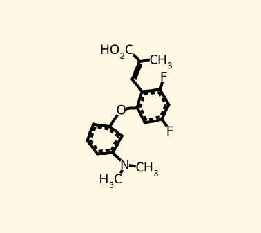 C/C(=C\c1c(F)cc(F)cc1Oc1cccc(N(C)C)c1)C(=O)O